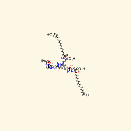 CC(C)C(=O)CN(C)C(=O)[C@@H](N)CCCCNC(=O)[C@H](CCCCNC(=O)CC[C@H](NC(=O)CCCCCCCCCCCCCCC(=O)O)C(=O)O)NC(=O)CC[C@H](NC(=O)CCCCCCCCCCCCCCC(=O)O)C(=O)O